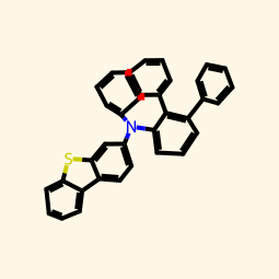 c1ccc(-c2cccc(N(c3ccccc3)c3ccc4c(c3)sc3ccccc34)c2-c2ccccc2)cc1